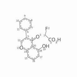 O=C(O)CF.O=c1c(-c2ccccc2)coc2cccc(O)c12